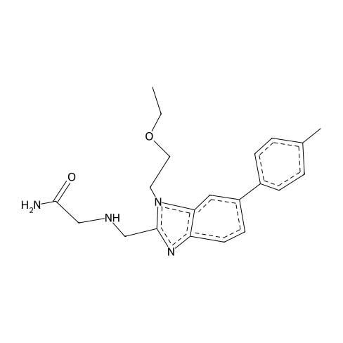 CCOCCn1c(CNCC(N)=O)nc2ccc(-c3ccc(C)cc3)cc21